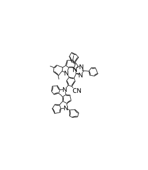 CC1=CC2c3cc(C)cc(C)c3N(c3cc(-n4c5ccccc5c5c6c7ccccc7n(-c7ccccc7)c6ccc54)c(C#N)cc3-c3nc(-c4ccccc4)nc(-c4ccccc4)n3)C2C(C)=C1